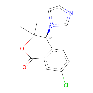 CC1(C)OC(=O)c2cc(Cl)ccc2[C@@H]1n1ccnc1